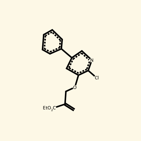 C=C(COc1cc(-c2ccccc2)cnc1Cl)C(=O)OCC